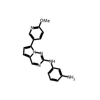 COc1ccc(-c2ccc3cnc(Nc4cccc(N)c4)nn23)cn1